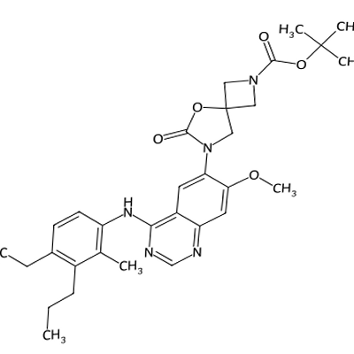 CCCc1c(CC)ccc(Nc2ncnc3cc(OC)c(N4CC5(CN(C(=O)OC(C)(C)C)C5)OC4=O)cc23)c1C